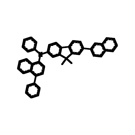 CC1(C)c2cc(-c3ccc4ccccc4c3)ccc2-c2ccc(N(c3ccccc3)c3ccc(-c4ccccc4)c4ccccc34)cc21